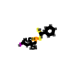 CC(C#N)(CCI)CPSC(=S)c1ccccc1